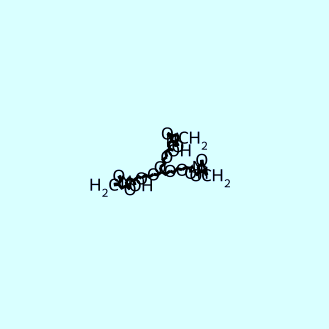 C=C1CC(=O)N(CC(O)COCCOCC(COCCOCC(O)CN2C(=O)CC(=C)C2=O)OCCOCC(O)CN2C(=O)CC(=C)C2=O)C1=O